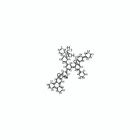 CC1(C)c2ccccc2-c2ccc(-c3cc(-c4cnc5c(c4)oc4cc6c7ccccc7c7ccccc7c6cc45)cc(-c4cc(-c5ccccc5)cc5c4oc4ccc(-c6ccccc6)cc45)c3)cc21